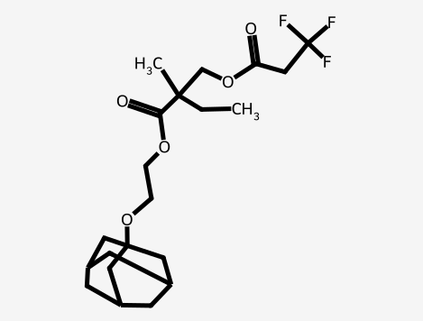 CCC(C)(COC(=O)CC(F)(F)F)C(=O)OCCOC12CC3CC(CC(C3)C1)C2